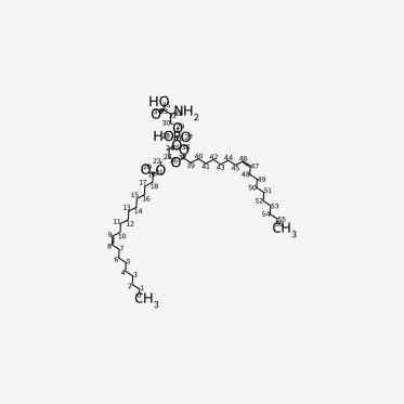 CCCCCCCC/C=C\CCCCCCCCCC(=O)OC[C@H](COP(=O)(O)OC[C@H](N)C(=O)O)OC(=O)CCCCCCC/C=C\CCCCCCCCC